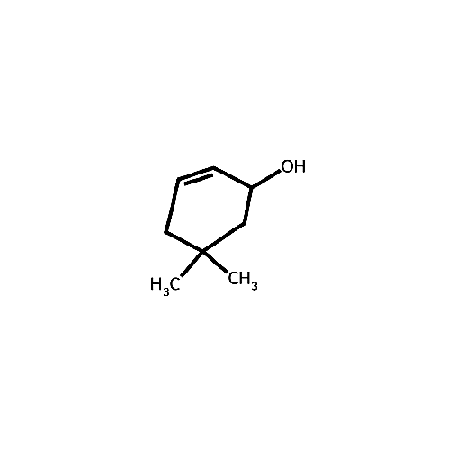 CC1(C)CC=CC(O)C1